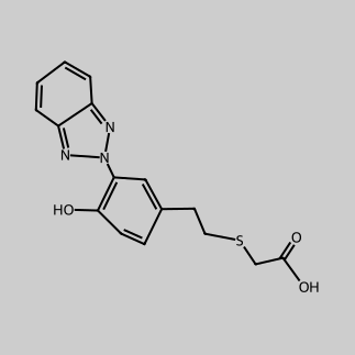 O=C(O)CSCCc1ccc(O)c(-n2nc3ccccc3n2)c1